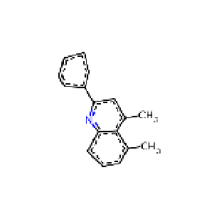 Cc1cccc2nc(-c3ccccc3)cc(C)c12